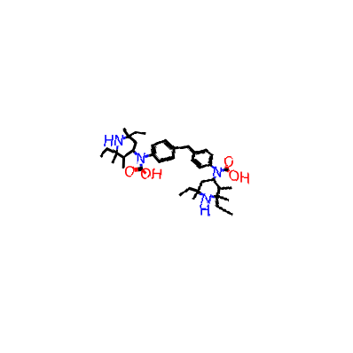 CCC1(C)CC(N(C(=O)O)c2ccc(Cc3ccc(N(C(=O)O)C4CC(C)(CC)NC(C)(CC)C4C)cc3)cc2)C(C)C(C)(CC)N1